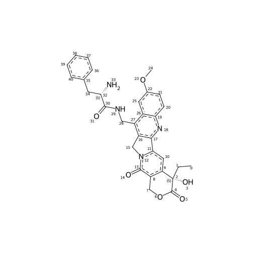 CC[C@@]1(O)C(=O)OCc2c1cc1n(c2=O)Cc2c-1nc1ccc(OC)cc1c2CNC(=O)[C@@H](N)Cc1ccccc1